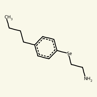 CCCCc1ccc([Se]CCN)cc1